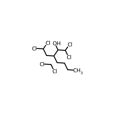 CCCCC(CC(Cl)Cl)C(O)C(Cl)Cl.ClCCl